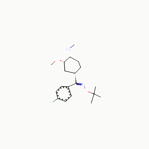 CN[C@@H]1CC[C@@H](C(=NOC(C)(C)C)c2ccc(F)cc2)C[C@H]1OC